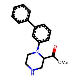 COC(=O)C1CNCCN1c1cccc(-c2ccccc2)c1